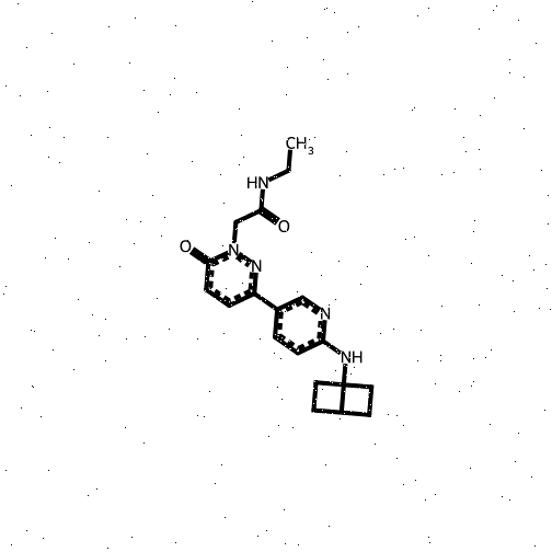 CCNC(=O)Cn1nc(-c2ccc(NC34CCC3CC4)nc2)ccc1=O